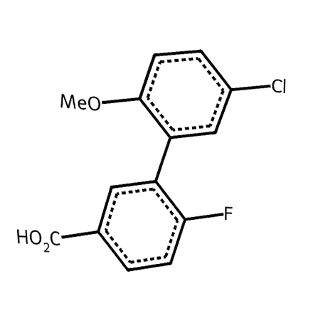 COc1ccc(Cl)cc1-c1cc(C(=O)O)ccc1F